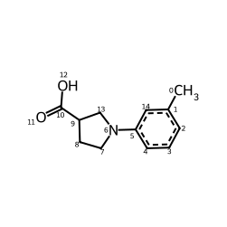 Cc1cccc(N2CCC(C(=O)O)C2)c1